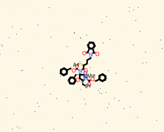 CNC(=O)[C@@](Cc1ccccc1)(C(=O)[C@H](CC(C)C)NC(=O)OCc1ccccc1)N(C(=O)OCc1ccccc1)C(=O)C(CCCN1C(=O)c2ccccc2C1=O)SC(C)=O